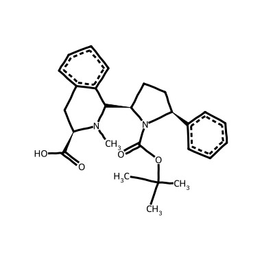 CN1C([C@H]2CC[C@@H](c3ccccc3)N2C(=O)OC(C)(C)C)c2ccccc2C[C@@H]1C(=O)O